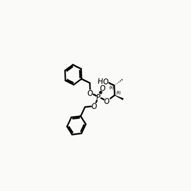 C[C@@H](O)[C@@H](C)OP(=O)(OCc1ccccc1)OCc1ccccc1